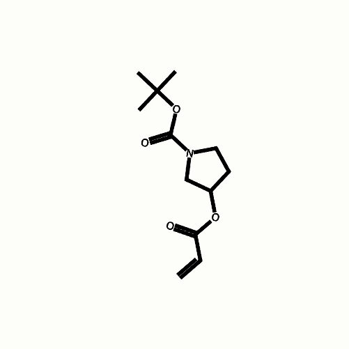 C=CC(=O)OC1CCN(C(=O)OC(C)(C)C)C1